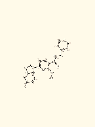 CCOc1nc(N2CCc3cc(C)ccc32)ncc1C(=O)NCc1ccccn1